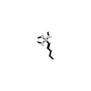 CCCC=C[Si](OC)(OC)OC